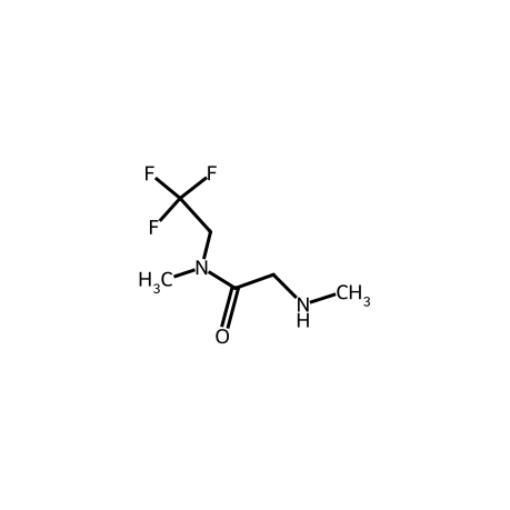 CNCC(=O)N(C)CC(F)(F)F